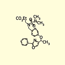 CCOC(=O)CN(Cc1ccc(OC(C)c2coc(-c3ccccc3)n2)cc1)S(=O)(=O)N(C)C